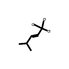 CC(C)C=CC(Cl)(Cl)Cl